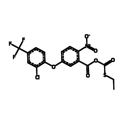 CCSC(=O)OC(=O)c1cc(Oc2ccc(C(F)(F)F)cc2Cl)ccc1[N+](=O)[O-]